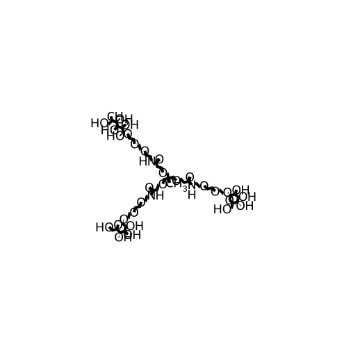 CC(CO)[C@@H](O)C(O)C(O)[C@H](O)OCCOCCOCCNC(=O)CCOCC(C)(COCCC(=O)NCCOCCOCCO[C@H]1OC(CO)[C@@H](O)C(O)C1O)COCCC(=O)NCCOCCOCCO[C@H]1OC(CO)[C@@H](O)C(O)C1O